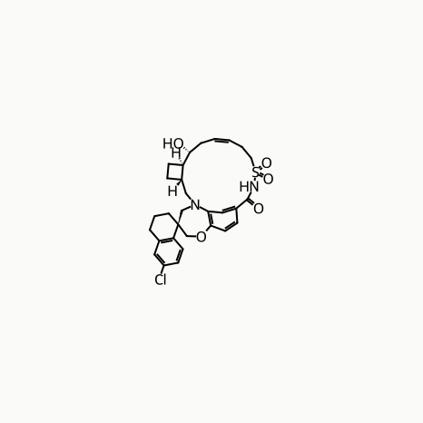 O=C1NS(=O)(=O)CC/C=C\C[C@@H](O)[C@@H]2CC[C@H]2CN2C[C@@]3(CCCc4cc(Cl)ccc43)COc3ccc1cc32